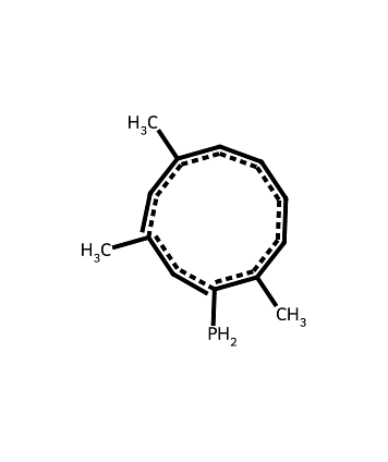 Cc1ccccc(C)c(P)cc(C)c1